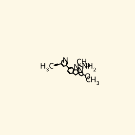 CC#Cc1cncc(-c2ccc3c(c2)C2(N=C(C)C(N)=N2)C2(CCC(OC)CC2)C3)c1